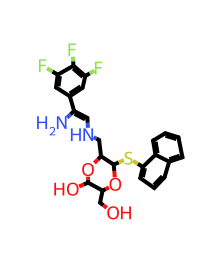 N/C(=C\NCC1OC(O)C(CO)OC1Sc1cccc2ccccc12)c1cc(F)c(F)c(F)c1